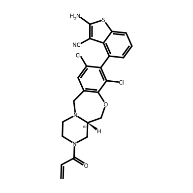 C=CC(=O)N1CCN2Cc3cc(Cl)c(-c4cccc5sc(N)c(C#N)c45)c(Cl)c3OC[C@@H]2C1